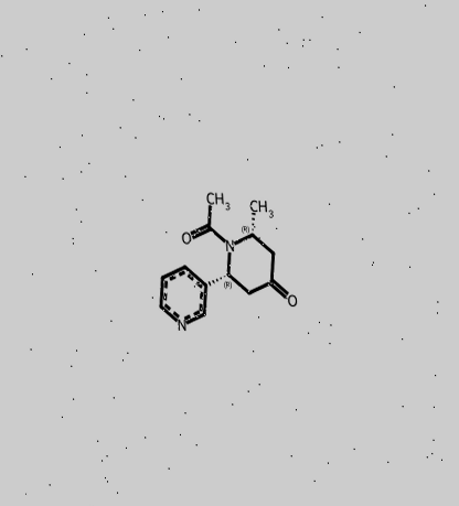 CC(=O)N1[C@H](C)CC(=O)C[C@@H]1c1cccnc1